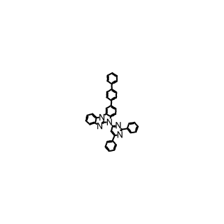 c1ccc(-c2ccc(-c3ccc4c(c3)n3c5ccccc5nc3n4-c3cc(-c4ccccc4)nc(-c4ccccc4)n3)cc2)cc1